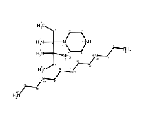 CCC(N)(N)C(N)(CC)N1CCNCC1.NCCNCCNCCNCCN